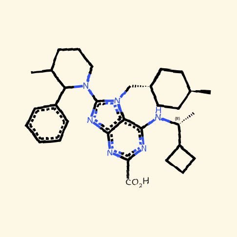 CC1CCCN(c2nc3nc(C(=O)O)nc(N[C@H](C)C4CCC4)c3n2C[C@H]2CC[C@H](C)CC2)C1c1ccccc1